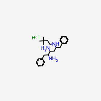 CC(C)(C)CCNC(Cc1ccccc1)CC(N)C(N)Cc1ccccc1.Cl